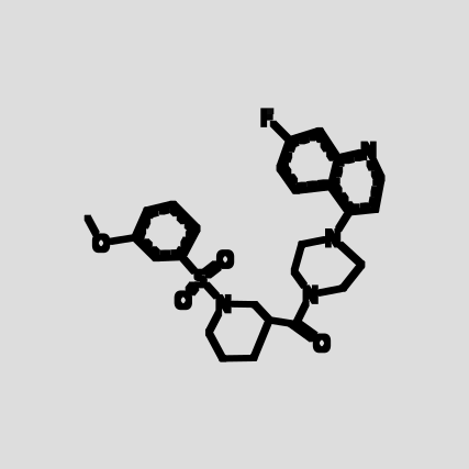 COc1cccc(S(=O)(=O)N2CCCC(C(=O)N3CCN(c4ccnc5cc(F)ccc45)CC3)C2)c1